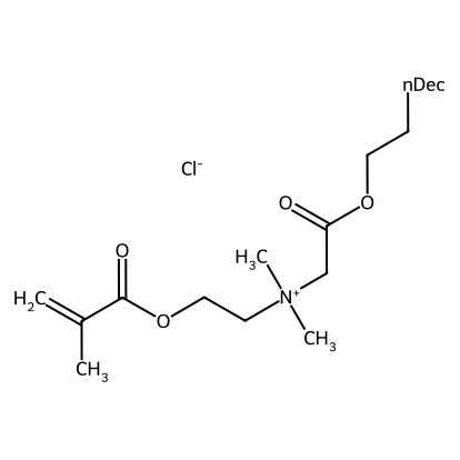 C=C(C)C(=O)OCC[N+](C)(C)CC(=O)OCCCCCCCCCCCC.[Cl-]